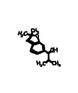 CC(C)C(O)c1ccc2c(c1)OC(C)(C)C2